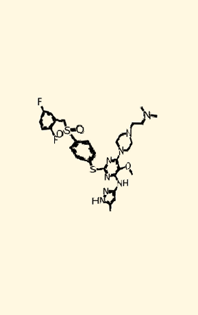 COc1c(Nc2cc(C)[nH]n2)nc(Sc2ccc(S(=O)(=O)Cc3cc(F)ccc3F)cc2)nc1N1CCN(CCN(C)C)CC1